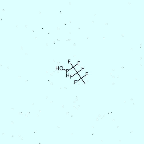 CC(F)(F)C(F)(F)C(F)(F)PO